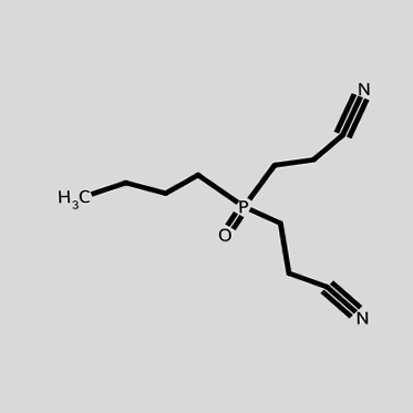 CCCCP(=O)(CCC#N)CCC#N